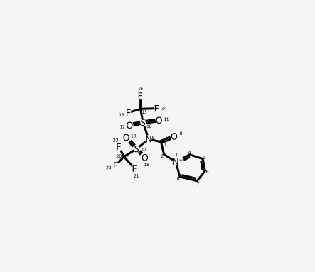 O=C(C[n+]1ccccc1)N(S(=O)(=O)C(F)(F)F)S(=O)(=O)C(F)(F)F